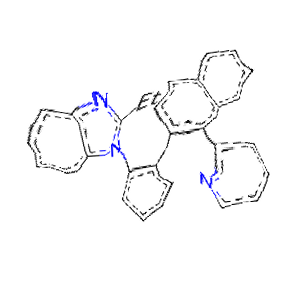 CCc1nc2ccccc2n1-c1ccccc1-c1ccc2ccccc2c1-c1ccccn1